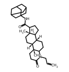 C=CCN1C(=O)CC[C@@]2(C)C1CC[C@@H]1[C@H]2CC[C@]2(C)C(C(=O)NC34CC5CC(CC(C5)C3)C4)CC[C@@H]12